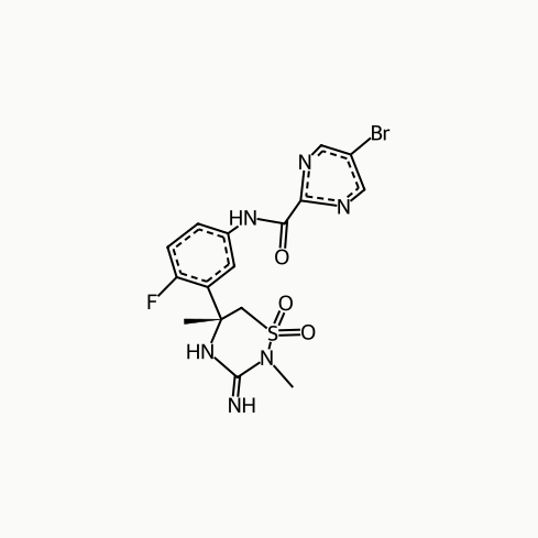 CN1C(=N)N[C@](C)(c2cc(NC(=O)c3ncc(Br)cn3)ccc2F)CS1(=O)=O